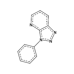 c1ccc(-n2nnc3cccnc32)cc1